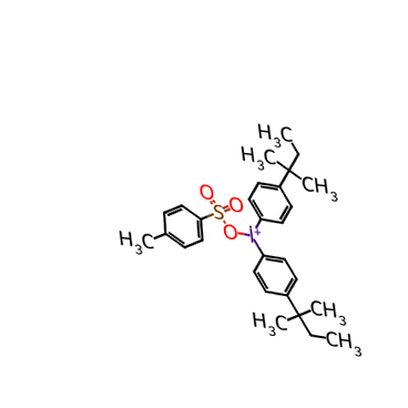 CCC(C)(C)c1ccc([I+](OS(=O)(=O)c2ccc(C)cc2)c2ccc(C(C)(C)CC)cc2)cc1